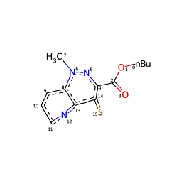 CCCCOC(=O)c1nn(C)c2cccnc2c1=S